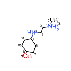 [CH2-][NH2+]CCN[C@H]1CC[C@@H](O)CC1